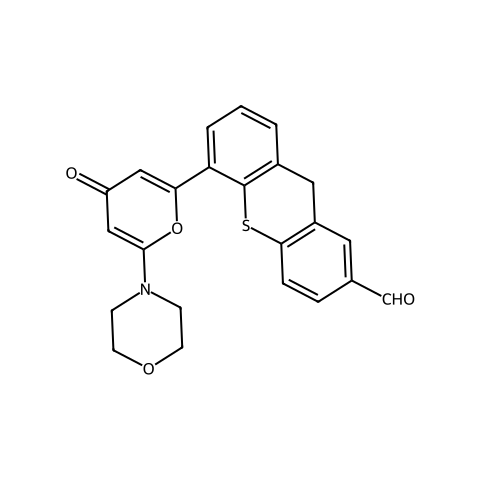 O=Cc1ccc2c(c1)Cc1cccc(-c3cc(=O)cc(N4CCOCC4)o3)c1S2